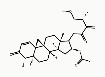 C=C(C(=O)CC1[C@@H](OC(C)=O)C[C@@]2(C)[C@@H]3CC[C@H]4[C@H](C)C(=O)C=C[C@@]45C[C@@]35CC[C@]12C)[C@@H](C)COC